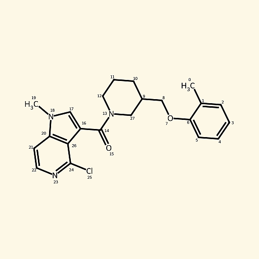 Cc1ccccc1OCC1CCCN(C(=O)c2cn(C)c3ccnc(Cl)c23)C1